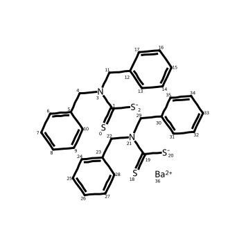 S=C([S-])N(Cc1ccccc1)Cc1ccccc1.S=C([S-])N(Cc1ccccc1)Cc1ccccc1.[Ba+2]